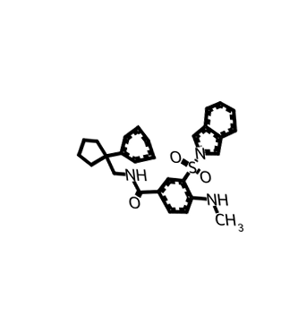 CNc1ccc(C(=O)NCC2(c3ccccc3)CCCC2)cc1S(=O)(=O)n1cc2ccccc2c1